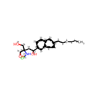 CCCCCCc1ccc2cc(C(O)CC(CO)(CO)NCl)ccc2c1